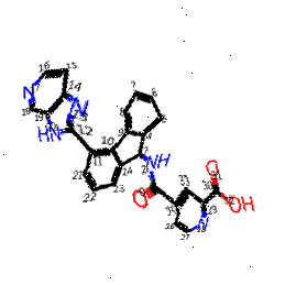 O=C(NC1c2ccccc2-c2c(-c3nc4ccncc4[nH]3)cccc21)c1ccnc(C(=O)O)c1